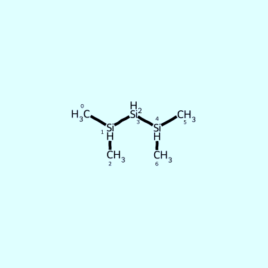 C[SiH](C)[SiH2][SiH](C)C